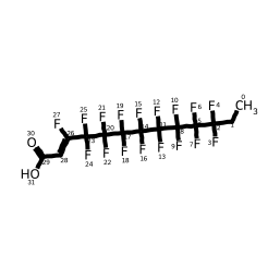 CCC(F)(F)C(F)(F)C(F)(F)C(F)(F)C(F)(F)C(F)(F)C(F)(F)C(F)(F)C(F)=CC(=O)O